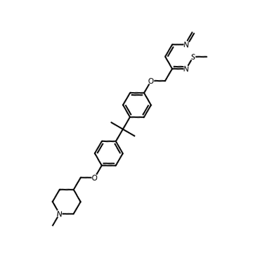 C=N/C=C\C(COc1ccc(C(C)(C)c2ccc(OCC3CCN(C)CC3)cc2)cc1)=N/SC